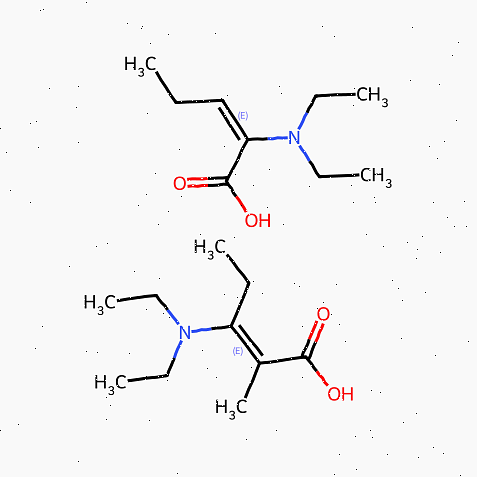 CC/C(=C(/C)C(=O)O)N(CC)CC.CC/C=C(\C(=O)O)N(CC)CC